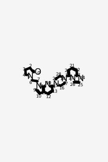 O=C1CCCN1CCn1ccc2ccc(N3CCN(c4cccc5nccn45)CC3)nc21